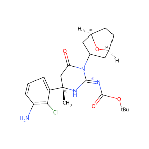 CC(C)(C)OC(=O)/N=C1\N[C@](C)(c2cccc(N)c2Cl)CC(=O)N1C1C[C@H]2CC[C@@H](C1)O2